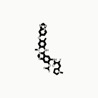 COc1cc(Oc2ccn3ncnc3c2)c(C)cc1Nc1ncnc2cc(OC(F)F)c(NC(=O)/C(F)=C\C3CCCN3C)cc12